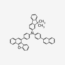 CC1(C)c2ccccc2-c2ccc(N(c3ccc(-c4ccc5ccccc5c4)cc3)c3ccc(-c4cc5ccccc5c5oc6ccccc6c45)cc3)cc21